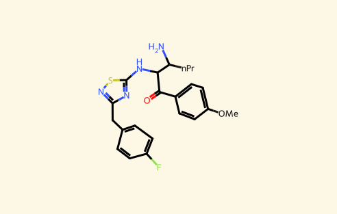 CCCC(N)C(Nc1nc(Cc2ccc(F)cc2)ns1)C(=O)c1ccc(OC)cc1